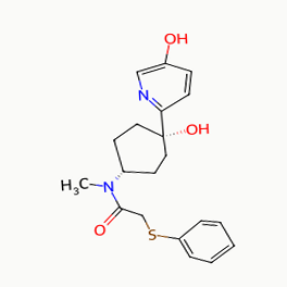 CN(C(=O)CSc1ccccc1)[C@H]1CC[C@](O)(c2ccc(O)cn2)CC1